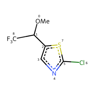 COC(c1cnc(Cl)s1)C(F)(F)F